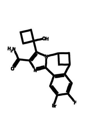 NC(=O)c1nc2n(c1C1(O)CCC1)C1CC(C1)c1cc(F)c(Br)cc1-2